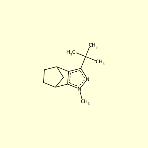 Cn1nc(C(C)(C)C)c2c1C1CCC2C1